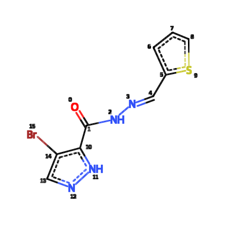 O=C(N/N=C/c1cccs1)c1[nH]ncc1Br